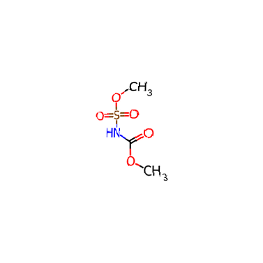 COC(=O)NS(=O)(=O)OC